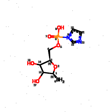 B[C@@H]1O[C@H](COP(=O)(O)n2ccnc2)C(O)C1O